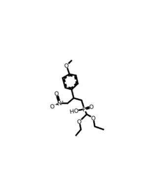 CCOC(OCC)P(=O)(O)CC(C[N+](=O)[O-])c1ccc(OC)cc1